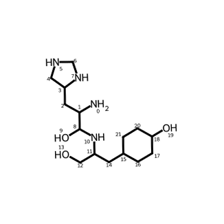 NC(CC1CNCN1)C(O)NC(CO)CC1CCC(O)CC1